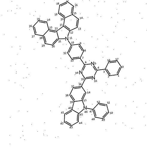 c1ccc(-c2nc(-c3ccc(-n4c5ccc6ccccc6c5c5c6ccccc6ccc54)cc3)nc(-c3ccc4c5ccccc5n(-c5ccccc5)c4c3)n2)cc1